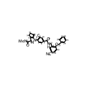 CNC(=O)c1nn(-c2ccc(C(=O)NCc3cc(C#N)ccc3OCc3ccccc3)cc2C(F)(F)F)c2c1CCC2